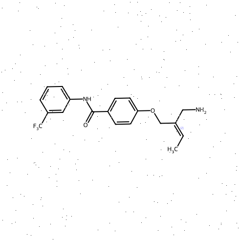 C/C=C(/CN)COc1ccc(C(=O)Nc2cccc(C(F)(F)F)c2)cc1